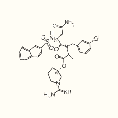 CC(C(=O)O[C@H]1CCCN(C(=N)N)C1)N(Cc1cccc(Cl)c1)C(=O)[C@H](CC(N)=O)NS(=O)(=O)c1ccc2ccccc2c1